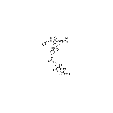 CCc1c(N2CCN(C(=O)OCc3ccc(NC(=O)[C@H](CCCNC(N)=O)NC(=O)C4(C(=O)NCCc5cccs5)CCC4)cc3)CC2)c(F)cc2c(=O)c(C(=O)O)c[nH]c12